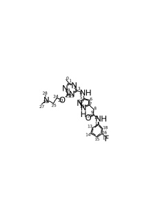 Cc1nc(Nc2cc(CC(=O)Nc3cccc(F)c3)[nH]n2)nc(OCCN(C)C)n1